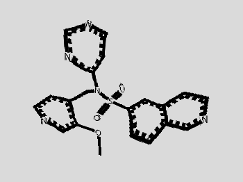 COc1cnccc1N(c1ccncn1)S(=O)(=O)c1ccc2cnccc2c1